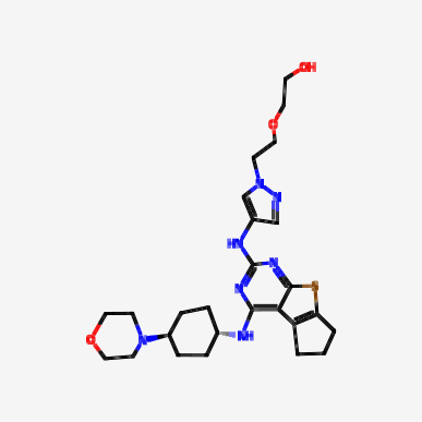 OCCOCCn1cc(Nc2nc(N[C@H]3CC[C@H](N4CCOCC4)CC3)c3c4c(sc3n2)CCC4)cn1